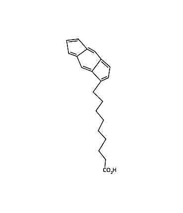 O=C(O)CCCCCCCCC1=CC=c2cc3c(cc21)=CC=C3